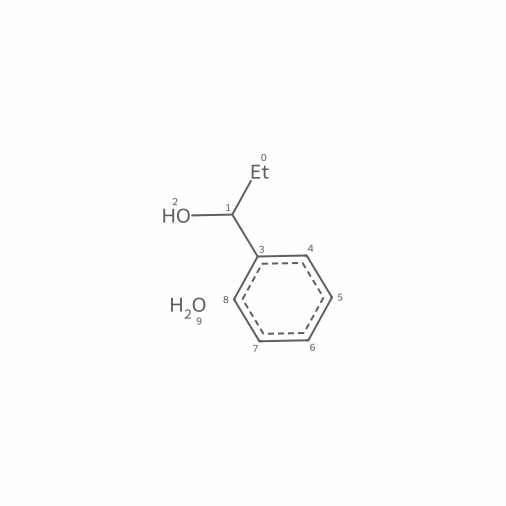 CCC(O)c1ccccc1.O